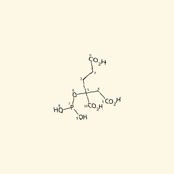 O=C(O)CCC(CC(=O)O)(OP(O)O)C(=O)O